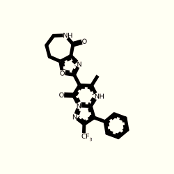 Cc1[nH]c2c(-c3ccccc3)c(C(F)(F)F)nn2c(=O)c1-c1nc2c(o1)CCCNC2=O